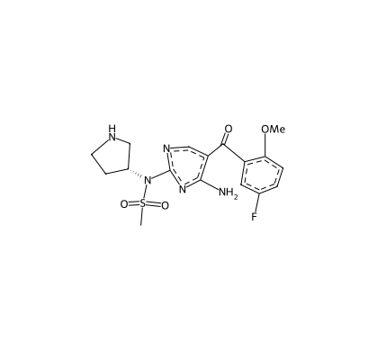 COc1ccc(F)cc1C(=O)c1cnc(N([C@@H]2CCNC2)S(C)(=O)=O)nc1N